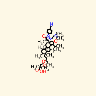 CCC(CCC1(C)C(C)CCC2(C)C1CCC1C3=C(C(C)C)C(=O)CC3(c3c(C)c(=O)n(-c4ccc(C#N)cc4)n3CCN(C)C)CC[C@]12C)OC(=O)CC(C)(C)C(=O)O